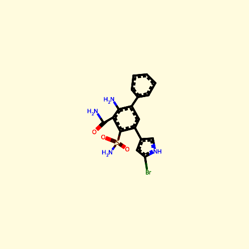 NC(=O)c1c(N)c(-c2ccccc2)cc(-c2c[nH]c(Br)c2)c1S(N)(=O)=O